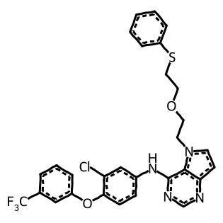 FC(F)(F)c1cccc(Oc2ccc(Nc3ncnc4ccn(CCOCCSc5ccccc5)c34)cc2Cl)c1